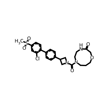 CS(=O)(=O)c1ccc(-c2ccc(C3CN(C(=O)N4CCCOCC(=O)NCC4)C3)cc2)c(Cl)c1